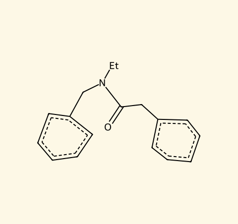 CCN(Cc1ccccc1)C(=O)Cc1ccccc1